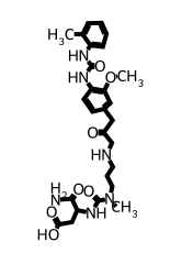 COc1cc(CC(=O)CNCCCN(C)C(=O)NC(CC(=O)O)C(N)=O)ccc1NC(=O)Nc1ccccc1C